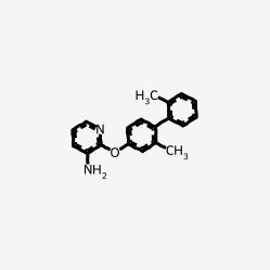 Cc1ccccc1-c1ccc(Oc2ncccc2N)cc1C